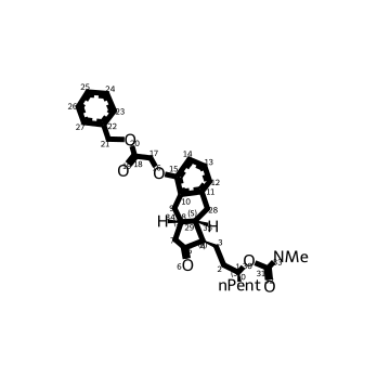 CCCCC[C@@H](CC[C@H]1C(=O)C[C@@H]2Cc3c(cccc3OCC(=O)OCc3ccccc3)C[C@@H]21)OC(=O)NC